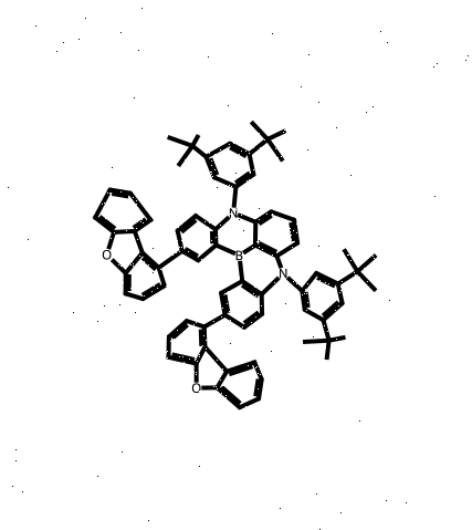 CC(C)(C)c1cc(N2c3ccc(-c4cccc5oc6ccccc6c45)cc3B3c4cc(-c5cccc6oc7ccccc7c56)ccc4N(c4cc(C(C)(C)C)cc(C(C)(C)C)c4)c4cccc2c43)cc(C(C)(C)C)c1